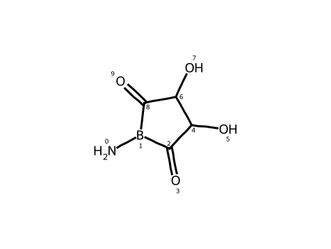 NB1C(=O)C(O)C(O)C1=O